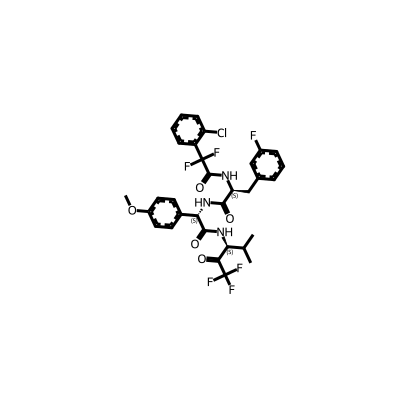 COc1ccc([C@H](NC(=O)[C@H](Cc2cccc(F)c2)NC(=O)C(F)(F)c2ccccc2Cl)C(=O)N[C@H](C(=O)C(F)(F)F)C(C)C)cc1